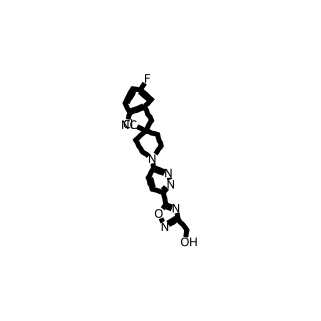 N#CC1(Cc2cc(F)ccc2Cl)CCN(c2ccc(-c3nc(CO)no3)nn2)CC1